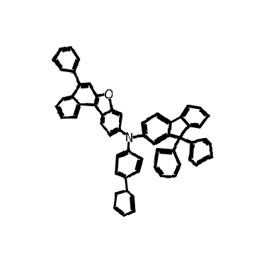 C1=CCC(c2ccc(N(c3ccc4c(c3)C(c3ccccc3)(c3ccccc3)c3ccccc3-4)c3ccc4c(c3)oc3cc(-c5ccccc5)c5ccccc5c34)cc2)C=C1